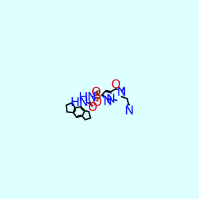 CN(CCC#N)C(=O)c1cc(S(=O)(=O)NC(=O)Nc2c3c(cc4c2CCC4)CCC3)nn1C